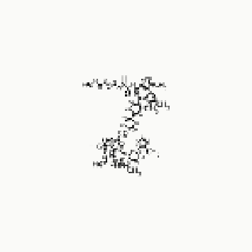 Cc1ncsc1-c1ccc([C@H](C)NC(=O)[C@@H]2C[C@@H](O)CN2C(=O)C(NC(=O)COc2ccc(-c3ccc(C4=N[C@@H](CC(=O)NCCOCCCO)c5nnc(C)n5-c5sc(C)c(C)c54)cc3)cc2)C(C)(C)C)cc1